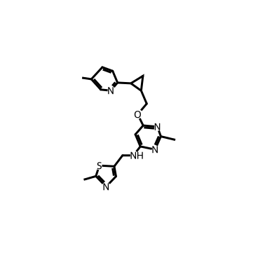 Cc1ccc(C2CC2COc2cc(NCc3cnc(C)s3)nc(C)n2)nc1